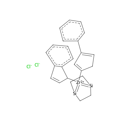 C1=C[CH]([Zr+2]2([C]3=CC(c4ccccc4)=CC3)=[Si]3CC[Si]=2CC3)c2ccccc21.[Cl-].[Cl-]